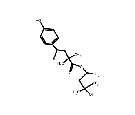 CCC(CC(C)(C)C(=O)OC(C)CC(C)(O)C(F)(F)F)c1ccc(O)cc1